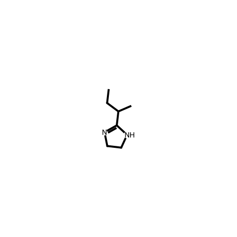 CCC(C)C1=NCCN1